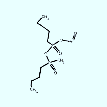 CCCCP(C)(=O)OP(=O)(CCCC)OP=O